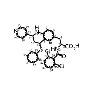 O=C(NC(Cc1ccc2c(c1)C(Sc1ccccc1)CC(c1ccncc1)N2)C(=O)O)c1c(Cl)cccc1Cl